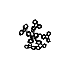 c1ccc2c(c1)c1ccccc1c1cc(Cc3cc4c5c(c3)N(c3ccc6c7ccccc7c7ccccc7c6c3)c3cc(-n6c7ccccc7c7ccccc76)ccc3B5c3ccc(-n5c6ccccc6c6ccccc65)cc3N4c3ccc4c5ccccc5c5ccccc5c4c3)ccc21